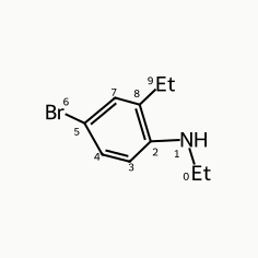 CCNc1ccc(Br)cc1CC